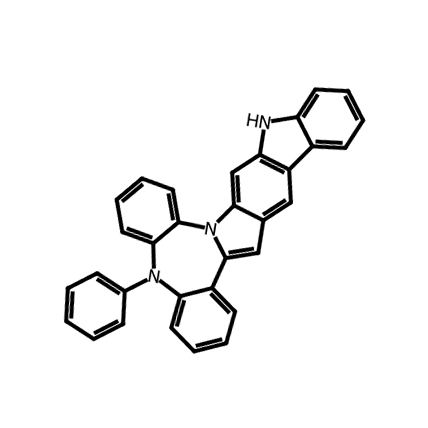 c1ccc(N2c3ccccc3-c3cc4cc5c(cc4n3-c3ccccc32)[nH]c2ccccc25)cc1